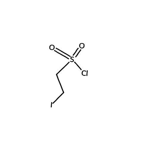 O=S(=O)(Cl)CCI